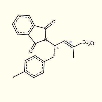 CCOC(=O)/C(C)=C/[C@H](Cc1ccc(F)cc1)N1C(=O)c2ccccc2C1=O